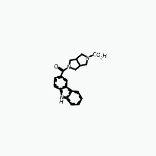 O=C(O)N1CC2CN(C(=O)c3ccc4[nH]c5ccccc5c4c3)CC2C1